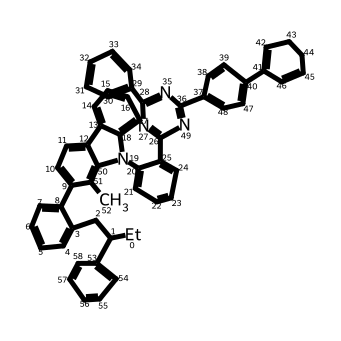 CCC(Cc1ccccc1-c1ccc2c3ccccc3n(-c3ccccc3-c3nc(-c4ccccc4)nc(-c4ccc(C5=CCCC=C5)cc4)n3)c2c1C)c1ccccc1